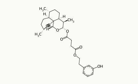 C[C@H]1[C@H](OC(=O)CCC(=O)OCCc2cccc(O)c2)O[C@@H]2O[C@]3(C)CC[C@H]4[C@H](C)CC[C@@H]1C24OO3